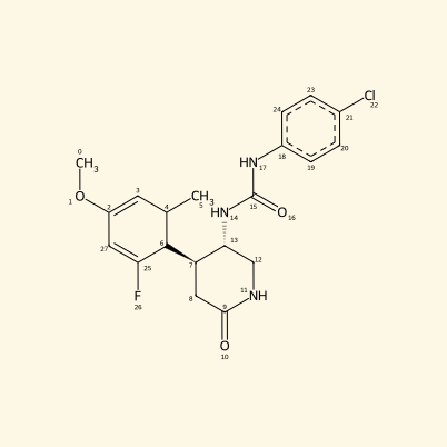 COC1=CC(C)C([C@@H]2CC(=O)NC[C@H]2NC(=O)Nc2ccc(Cl)cc2)C(F)=C1